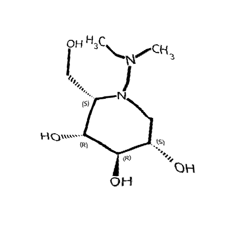 CN(C)N1C[C@H](O)[C@@H](O)[C@H](O)[C@@H]1CO